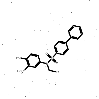 CC(C)CN(c1ccc(O)c(C(=O)O)c1)S(=O)(=O)c1ccc(-c2ccccc2)cc1